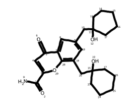 NC(=O)c1cc(=O)c2cc(CC3(O)CCCCC3)cc(CC3(O)CCCCC3)c2o1